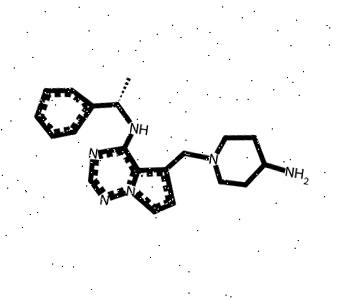 C[C@H](Nc1ncnn2ccc(CN3CCC(N)CC3)c12)c1ccccc1